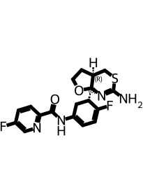 NC1=N[C@@]2(C3CC(NC(=O)c4ccc(F)cn4)=CC=C3F)OCC[C@H]2CS1